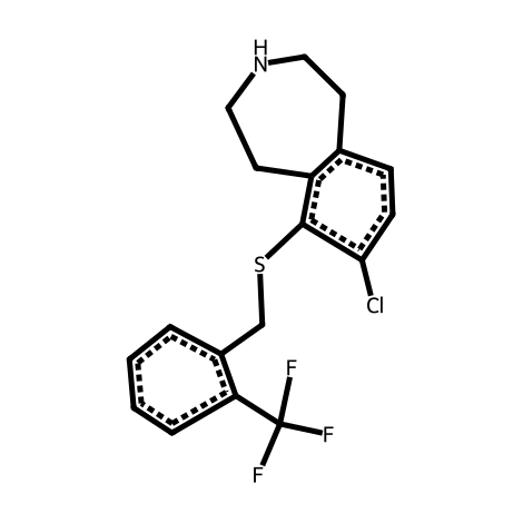 FC(F)(F)c1ccccc1CSc1c(Cl)ccc2c1CCNCC2